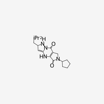 [2H]N1C(CC(C)C)C=C2NC3=C(CN(C4CCCC4)C3=O)C(=O)N21